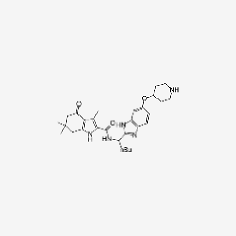 CCCCC(NC(=O)c1[nH]c2c(c1C)C(=O)CC(C)(C)C2)c1nc2ccc(OC3CCNCC3)cc2[nH]1